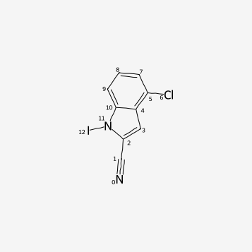 N#Cc1cc2c(Cl)cccc2n1I